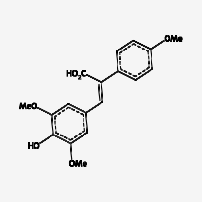 COc1ccc(/C(=C/c2cc(OC)c(O)c(OC)c2)C(=O)O)cc1